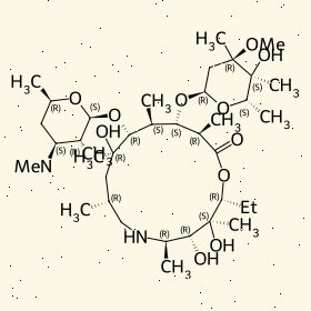 CC[C@H]1OC(=O)[C@H](C)[C@@H](O[C@H]2C[C@@](C)(OC)[C@@](C)(O)[C@H](C)O2)[C@H](C)[C@@H](O[C@@H]2O[C@H](C)C[C@H](NC)[C@H]2C)[C@](C)(O)C[C@@H](C)CN[C@H](C)[C@@H](O)[C@]1(C)O